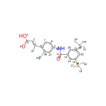 C/C(=C\C(=O)O)c1ccc(NC(=O)c2cc(S(C)(C)C)cc(S(C)(C)C)c2)cc1F